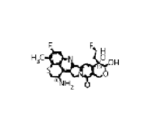 Cc1c(F)cc2nc3c(c4c2c1SC[C@@H]4N)Cn1c-3cc2c(c1=O)COC(O)[C@]2(O)CCF